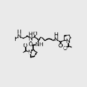 CC(=O)N1CCCC1C(=O)NCCCCC(NC(=O)C1CCCN1C(C)=O)C(=O)NCCNI